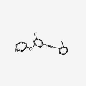 Cc1ccccc1C#Cc1cc(F)cc(Oc2cccnc2)c1